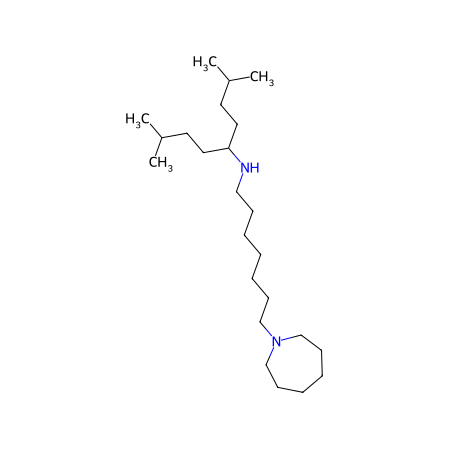 CC(C)CCC(CCC(C)C)NCCCCCCCN1CCCCCC1